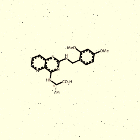 CCC[C@H](Nc1nc(NCc2ccc(OC)cc2OC)nc2cccnc12)C(=O)O